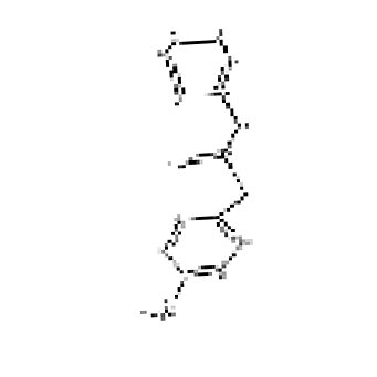 O=C(Cc1ccccc1)Cc1ccc(C(=O)O)cc1